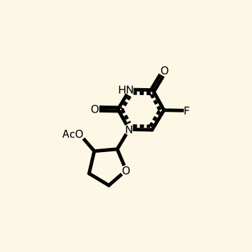 CC(=O)OC1CCOC1n1cc(F)c(=O)[nH]c1=O